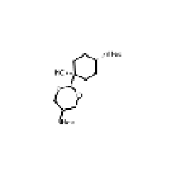 CCCCCCC1COC([C@]2(C#N)CC[C@@H](CCCCCC)CC2)OC1